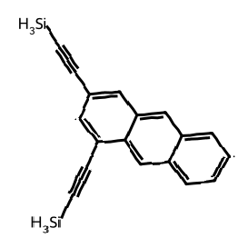 [SiH3]C#Cc1[c]c(C#C[SiH3])c2cc3cc[c]cc3cc2c1